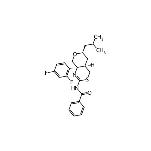 CC(C)C[C@H]1C[C@H]2CSC(NC(=O)c3ccccc3)=N[C@@]2(c2ccc(F)cc2F)CO1